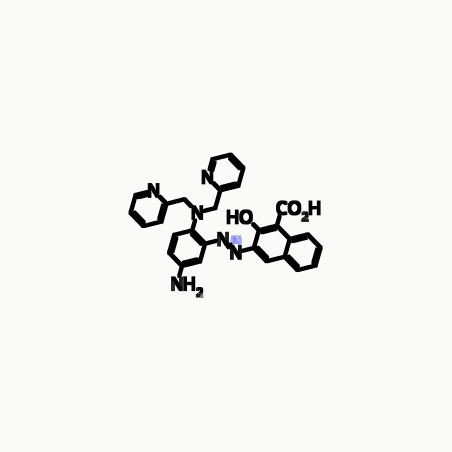 Nc1ccc(N(Cc2ccccn2)Cc2ccccn2)c(/N=N/c2cc3ccccc3c(C(=O)O)c2O)c1